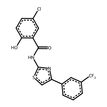 O=C(Nc1nc(-c2cccc(C(F)(F)F)c2)cs1)c1cc(Cl)ccc1O